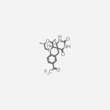 C[C@@H]1CN2c3ccc(C(=O)C(F)(F)F)cc3CC3(C(=O)NC(=O)NC3=O)[C@H]2[C@H](C)O1